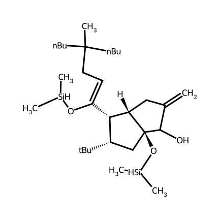 C=C1C[C@H]2[C@@H](C(=CCC(C)(CCCC)CCCC)O[SiH](C)C)[C@@H](C(C)(C)C)C[C@@]2(O[SiH](C)C)C1O